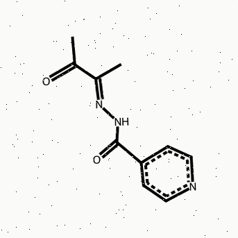 CC(=O)/C(C)=N/NC(=O)c1ccncc1